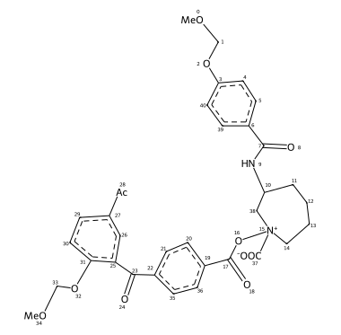 COCOc1ccc(C(=O)NC2CCCC[N+](OC(=O)c3ccc(C(=O)c4cc(C(C)=O)ccc4OCOC)cc3)(C(=O)[O-])C2)cc1